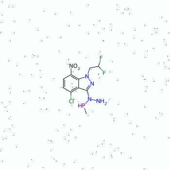 CPN(N)c1nn(CC(F)F)c2c([N+](=O)[O-])ccc(Cl)c12